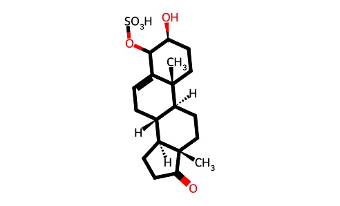 C[C@]12CC[C@H](O)C(OS(=O)(=O)O)C1=CC[C@@H]1[C@@H]2CC[C@]2(C)C(=O)CC[C@@H]12